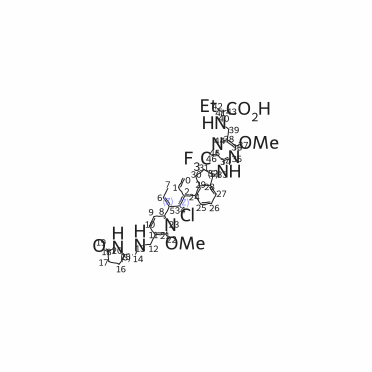 C=C/C(=C(Cl)\C(=C/C)c1ccc(CNC[C@@H]2CCC(=O)N2)c(OC)n1)c1cccc2c1CC[C@@H]2Nc1nc(OC)c(CNC(CC)C(=O)O)nc1C(F)(F)F